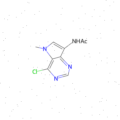 CC(=O)Nc1cn(C)c2c(Cl)ncnc12